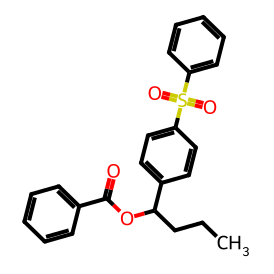 CCCC(OC(=O)c1ccccc1)c1ccc(S(=O)(=O)c2ccccc2)cc1